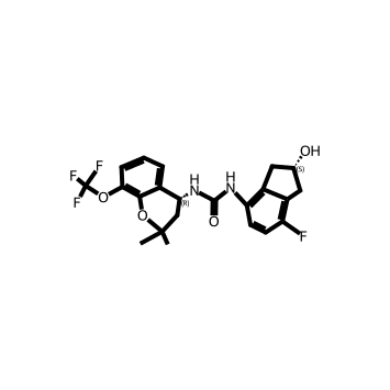 CC1(C)C[C@@H](NC(=O)Nc2ccc(F)c3c2C[C@H](O)C3)c2cccc(OC(F)(F)F)c2O1